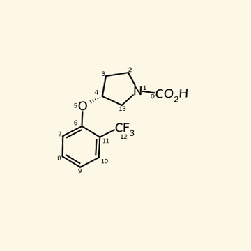 O=C(O)N1CC[C@@H](Oc2ccccc2C(F)(F)F)C1